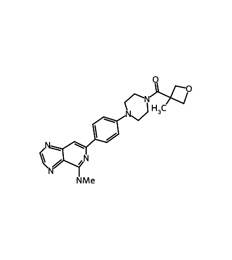 CNc1nc(-c2ccc(N3CCN(C(=O)C4(C)COC4)CC3)cc2)cc2nccnc12